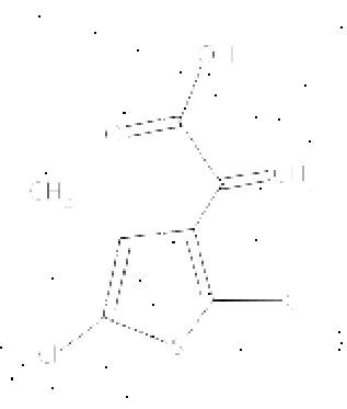 C.C=C(C(=O)O)c1cc(Cl)sc1Cl